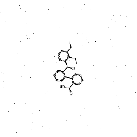 CCc1cccc(C(=O)c2ccccc2-c2ccccc2C(=O)O)c1CC